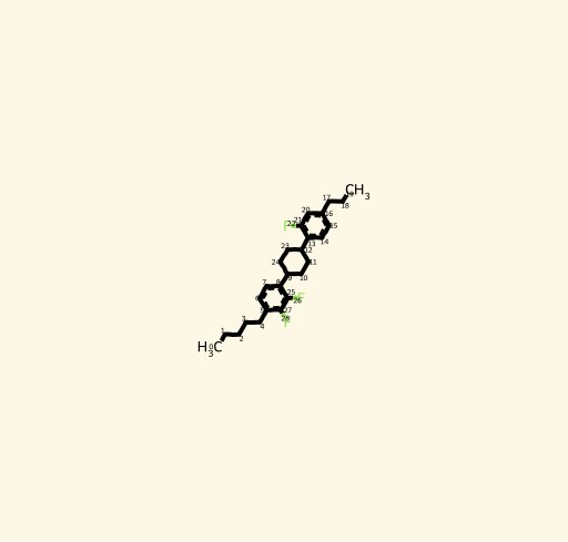 CCCCCc1ccc(C2CCC(c3ccc(CCC)cc3F)CC2)c(F)c1F